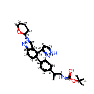 CC(CNC(=O)OC(C)(C)C)c1ccc(-c2ccc3nn(C4CCCCO4)cc3c2-c2cc[nH]n2)cc1